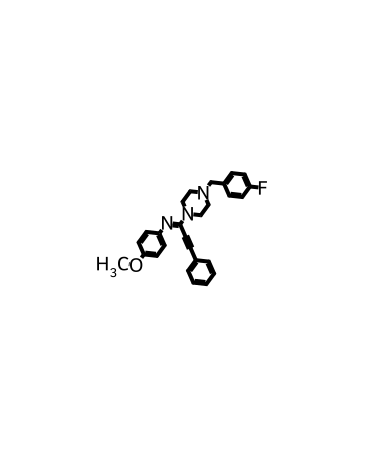 COc1ccc(/N=C(\C#Cc2ccccc2)N2CCN(Cc3ccc(F)cc3)CC2)cc1